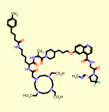 C/N=C/[C@H]1CC(F)(F)CN1C(=O)CNC(=O)c1ccnc2ccc(OCCCC3CCN(C(=O)[C@H](C)NC(=O)C(CCCCNC(=O)CCCc4ccc(C)cc4)NC(=O)CN4CCN(CC(=O)O)CCN(CC(=O)O)CCN(CC(=O)O)CC4)CC3)cc12